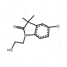 CC1(C)C(=O)N(CCO)c2ccc(Cl)cc21